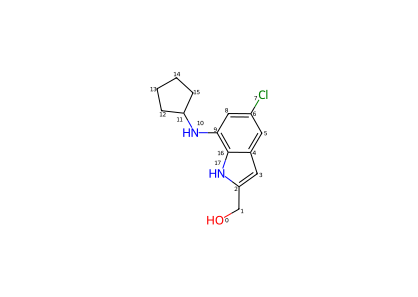 OCc1cc2cc(Cl)cc(NC3CCCC3)c2[nH]1